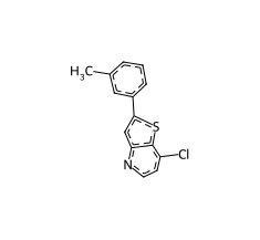 Cc1cccc(-c2cc3nccc(Cl)c3s2)c1